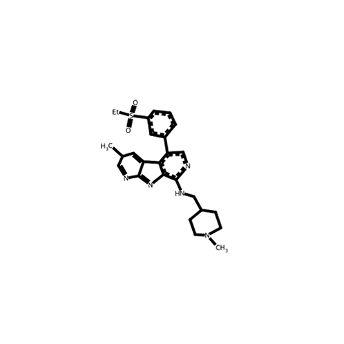 CCS(=O)(=O)c1cccc(-c2cnc(NCC3CCN(C)CC3)c3c2C2=CC(C)C=NC2=N3)c1